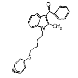 Cc1c(C(=O)c2ccccc2)c2ccccc2n1CCCCSc1ccncc1